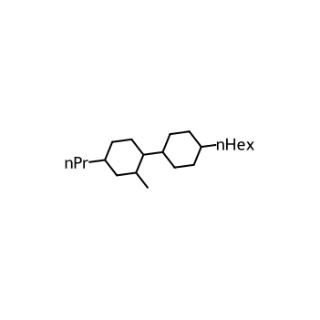 CCCCCCC1CCC(C2CCC(CCC)CC2C)CC1